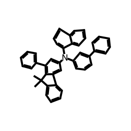 CC1(C)c2ccccc2-c2cc(N(c3cccc(-c4ccccc4)c3)c3cccc4ccccc34)cc(-c3ccccc3)c21